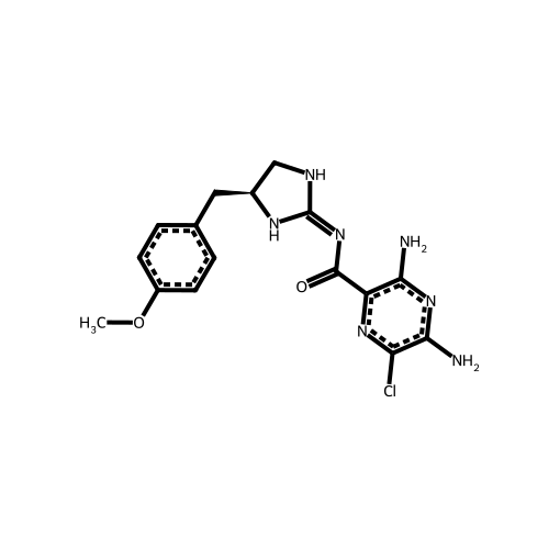 COc1ccc(C[C@H]2CN/C(=N/C(=O)c3nc(Cl)c(N)nc3N)N2)cc1